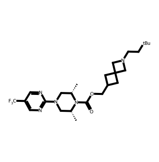 C[C@@H]1CN(c2ncc(C(F)(F)F)cn2)C[C@H](C)N1C(=O)OCC1CC2(C1)CN(CCC(C)(C)C)C2